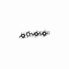 Cc1ccc([C@H]2CC[C@H](CCc3ccc(CCc4ccc(Cl)cc4)cc3)CC2)cc1